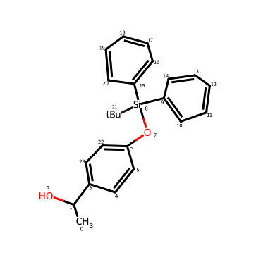 CC(O)c1ccc(O[Si](c2ccccc2)(c2ccccc2)C(C)(C)C)cc1